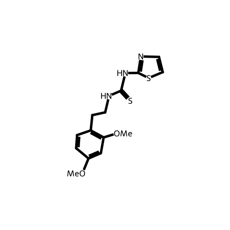 COc1ccc(CCNC(=S)Nc2nccs2)c(OC)c1